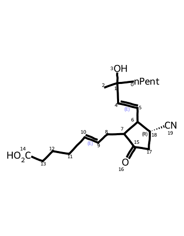 CCCCCC(C)(O)/C=C/C1C(C/C=C/CCCC(=O)O)C(=O)C[C@H]1C#N